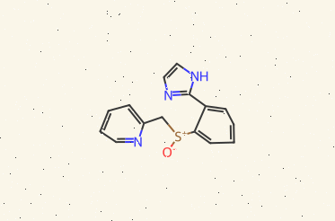 [O-][S+](Cc1ccccn1)c1ccccc1-c1ncc[nH]1